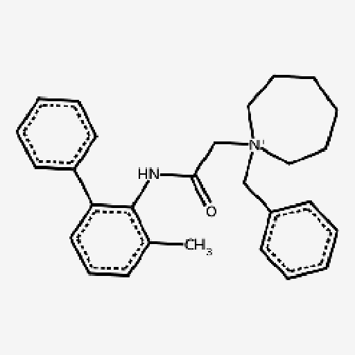 Cc1cccc(-c2ccccc2)c1NC(=O)C[N+]1(Cc2ccccc2)CCCCCC1